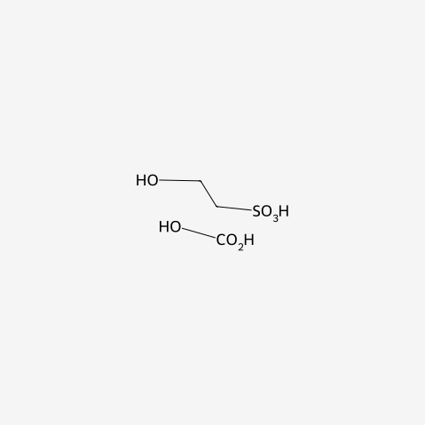 O=C(O)O.O=S(=O)(O)CCO